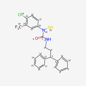 O=C(NCCC(c1ccccc1)c1ccccc1)N(S)c1ccc(Cl)c(C(F)(F)F)c1